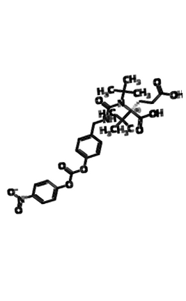 CC(C)(C)N(C(=O)NCc1ccc(OC(=O)Oc2ccc([N+](=O)[O-])cc2)cc1)[C@@](CCC(=O)O)(C(=O)O)C(C)(C)C